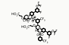 C[C@@]1(OCCC(=O)O)CCN2c3ccc(-c4cc(F)cc(OC(F)F)c4)cc3N(S(=O)(=O)c3cc(C4CN5c6ccc(-c7cc(F)cc(OC(F)F)c7)cc6N(S(=O)(=O)c6cccc(C(F)(F)F)c6)C[C@@H]5C[C@@H]4OCCC(=O)O)cc(C(F)(F)F)c3)C[C@@H]2C1